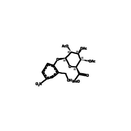 COC(=O)[C@H]1O[C@@H](Oc2ccc([N+](=O)[O-])cc2CO)[C@H](OC(C)=O)[C@@H](OC(C)=O)[C@@H]1OC(C)=O